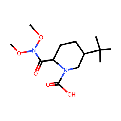 CON(OC)C(=O)C1CCC(C(C)(C)C)CN1C(=O)O